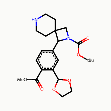 COC(=O)c1ccc(C2N(C(=O)OC(C)(C)C)CC23CCNCC3)cc1C1OCCO1